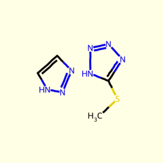 CSc1nnn[nH]1.c1c[nH]nn1